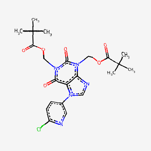 CC(C)(C)C(=O)OCn1c(=O)c2c(ncn2-c2ccc(Cl)nc2)n(COC(=O)C(C)(C)C)c1=O